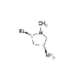 CC[C@@H]1C[C@H](N)CN1C